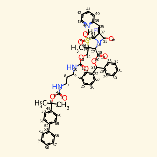 CC(C)(OC(=O)NCCCNC(=O)OC[C@@]1(C)[C@H](C(=O)OC(c2ccccc2)c2ccccc2)N2C(=O)/C(=C/c3ccccn3)[C@H]2S1(=O)=O)c1ccc(-c2ccccc2)cc1